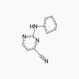 N#Cc1ccnc(Nc2ccccc2)n1